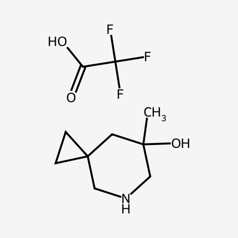 CC1(O)CNCC2(CC2)C1.O=C(O)C(F)(F)F